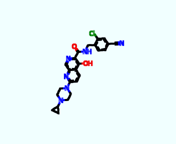 N#Cc1ccc(CNC(=O)c2ncc3nc(N4CCN(C5CC5)CC4)ccc3c2O)c(Cl)c1